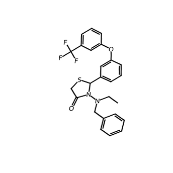 CCN(Cc1ccccc1)N1C(=O)CSC1c1cccc(Oc2cccc(C(F)(F)F)c2)c1